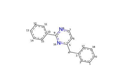 c1ccc(Cc2ccnc(-c3ccccc3)n2)cc1